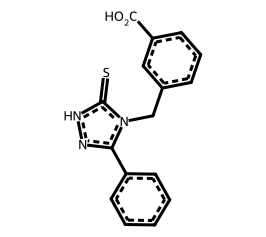 O=C(O)c1cccc(Cn2c(-c3ccccc3)n[nH]c2=S)c1